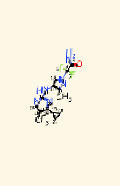 Cc1nn(C(F)(F)C(N)=O)cc1Nc1ncc(C(F)(F)F)c(C2CC2)n1